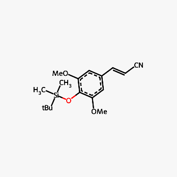 COc1cc(/C=C/C#N)cc(OC)c1O[Si](C)(C)C(C)(C)C